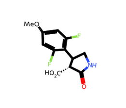 COc1cc(F)c(C2CNC(=O)[C@@H]2C(=O)O)c(F)c1